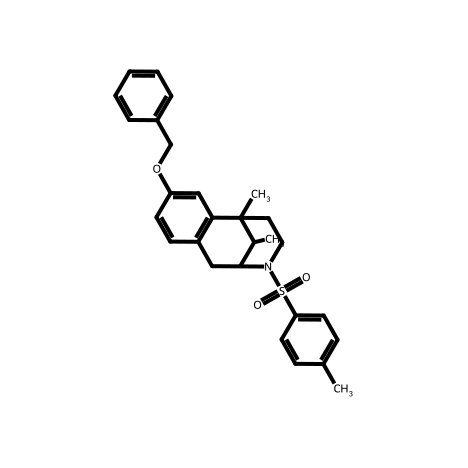 Cc1ccc(S(=O)(=O)N2CCC3(C)c4cc(OCc5ccccc5)ccc4CC2C3C)cc1